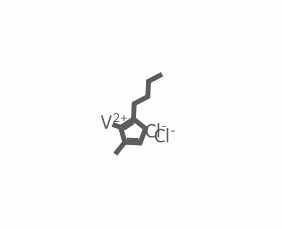 CCCCC1=[C]([V+2])C(C)=CC1.[Cl-].[Cl-]